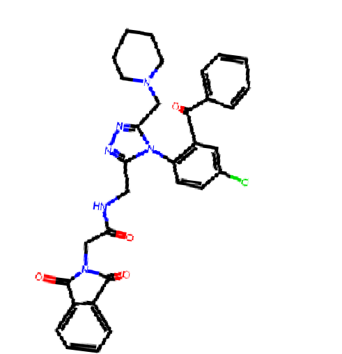 O=C(CN1C(=O)c2ccccc2C1=O)NCc1nnc(CN2CCCCC2)n1-c1ccc(Cl)cc1C(=O)c1ccccc1